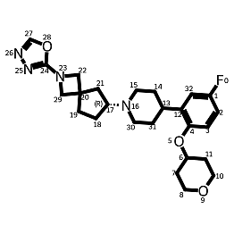 Fc1ccc(OC2CCOCC2)c(C2CCN([C@@H]3CCC4(C3)CN(c3nnco3)C4)CC2)c1